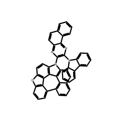 c1ccc2c(c1)ccc1nc(-n3c4ccc5cccc6c5c4c4c5c(ccc43)oc3cccc-6c35)c(-n3c4ccccc4c4ccccc43)nc12